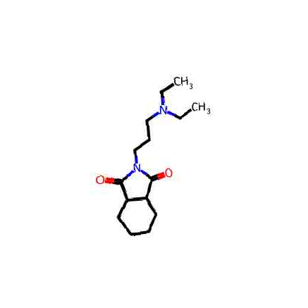 CCN(CC)CCCN1C(=O)C2CCCCC2C1=O